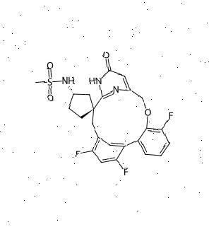 CS(=O)(=O)N[C@H]1CC[C@@]2(Cc3cc(c(F)cc3F)-c3cccc(F)c3OCc3cc(=O)[nH]c2n3)C1